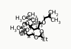 C=C(C)COCC(CC([SiH3])(O[Si](C)(C)C)O[Si](C)(C)C)OC(CC)OCCO